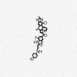 CCc1cc(C(=O)c2cc(F)c(NC(=O)/C=C/CNC3CCC(OC)CC3)c(F)c2)n2cccc(-c3c(C)cc4c(nc(C)n4C)c3Cl)c12